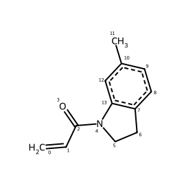 C=CC(=O)N1CCc2ccc(C)cc21